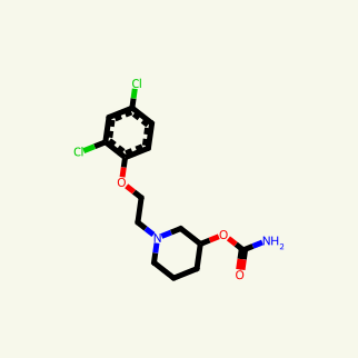 NC(=O)OC1CCCN(CCOc2ccc(Cl)cc2Cl)C1